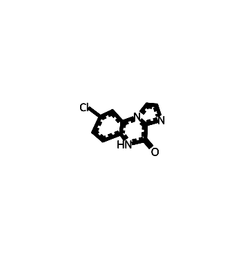 O=c1[nH]c2ccc(Cl)cc2n2ccnc12